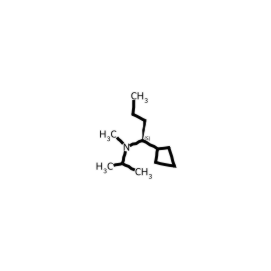 CCC[C@@H](C1CCC1)N(C)C(C)C